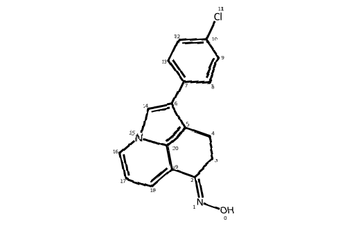 ON=C1CCc2c(-c3ccc(Cl)cc3)cn3cccc1c23